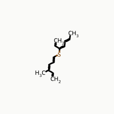 C=C/C(C)=C\C=C\S/C(C=C)=C/C=C/C